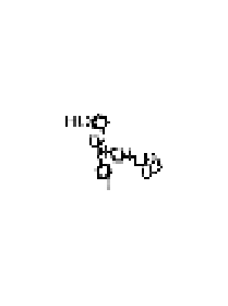 O=C(Cc1cccc(O)c1)N(Cc1ccc(F)cc1)C1CCN(CCC2OCCCO2)CC1